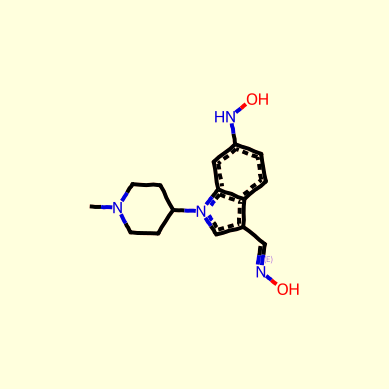 CN1CCC(n2cc(/C=N/O)c3ccc(NO)cc32)CC1